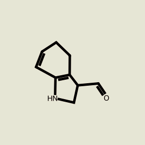 O=CC1CNC2=C1CCC=C2